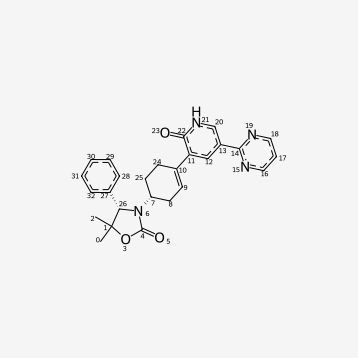 CC1(C)OC(=O)N([C@H]2CC=C(c3cc(-c4ncccn4)c[nH]c3=O)CC2)[C@H]1c1ccccc1